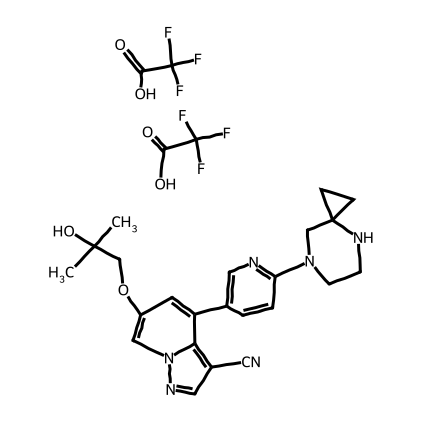 CC(C)(O)COc1cc(-c2ccc(N3CCNC4(CC4)C3)nc2)c2c(C#N)cnn2c1.O=C(O)C(F)(F)F.O=C(O)C(F)(F)F